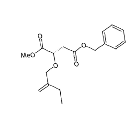 C=C(CI)CO[C@@H](CC(=O)OCc1ccccc1)C(=O)OC